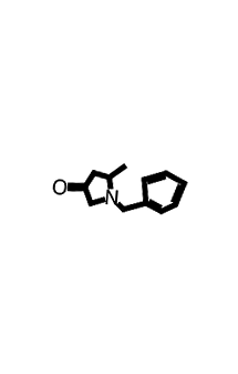 CC1CC(=O)CN1Cc1ccccc1